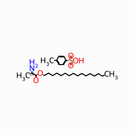 CCCCCCCCCCCCCCCCOC(=O)[C@H](C)N.Cc1ccc(S(=O)(=O)O)cc1